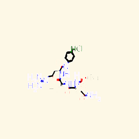 C[C@H](NC(=O)[C@H](CCC(N)=O)NC(=O)OC(C)(C)C)C(=O)N[C@@H](CCCN=C(N)N)C(=O)Nc1ccc([N+](=O)[O-])cc1.Cl